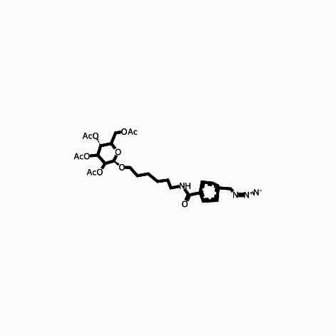 CC(=O)OCC1O[C@@H](OCCCCCCNC(=O)c2ccc(CN=[N+]=[N-])cc2)C(OC(C)=O)C(OC(C)=O)[C@@H]1OC(C)=O